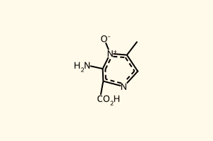 Cc1cnc(C(=O)O)c(N)[n+]1[O-]